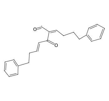 O=[C]C(=CCCCc1ccccc1)C(=O)C=CCCc1ccccc1